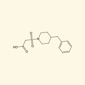 O=C(O)CS(=O)(=O)N1CCC(Cc2ccccc2)CC1